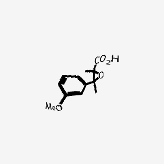 COc1cccc(C2(C)OC2(C)C(=O)O)c1